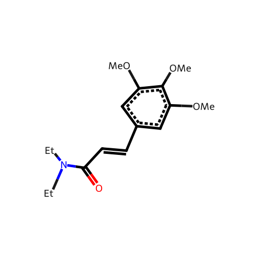 CCN(CC)C(=O)C=Cc1cc(OC)c(OC)c(OC)c1